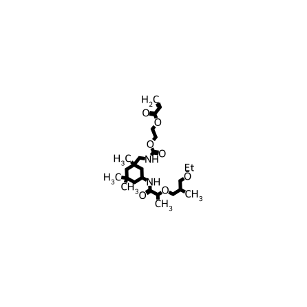 C=CC(=O)OCCOC(=O)NCC1(C)CC(NC(=O)C(C)OCC(C)COCC)CC(C)(C)C1